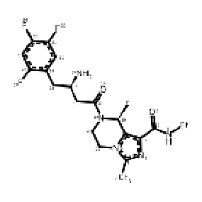 CCNC(=O)c1nc(C(F)(F)F)n2c1[C@H](C)N(C(=O)C[C@H](N)Cc1cc(F)c(F)cc1F)CC2